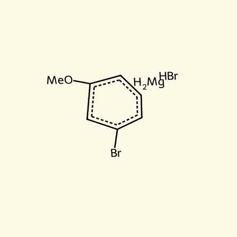 Br.COc1cccc(Br)c1.[MgH2]